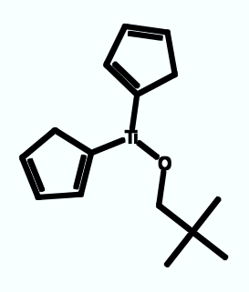 CC(C)(C)C[O][Ti]([C]1=CC=CC1)[C]1=CC=CC1